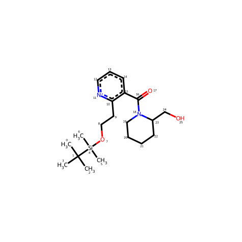 CC(C)(C)[Si](C)(C)OCCc1ncccc1C(=O)N1CCCCC1CO